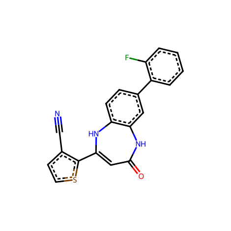 N#Cc1ccsc1C1=CC(=O)Nc2cc(-c3ccccc3F)ccc2N1